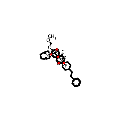 COCOc1ccc(S(=O)(=O)N2CCC(CCc3ccccc3)CC2)cc1N1C2CCC1CN(C(=O)c1ccc(F)cc1Cl)C2